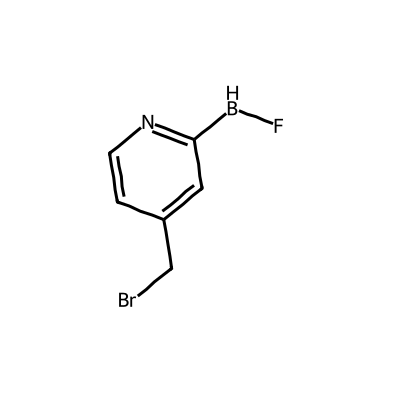 FBc1cc(CBr)ccn1